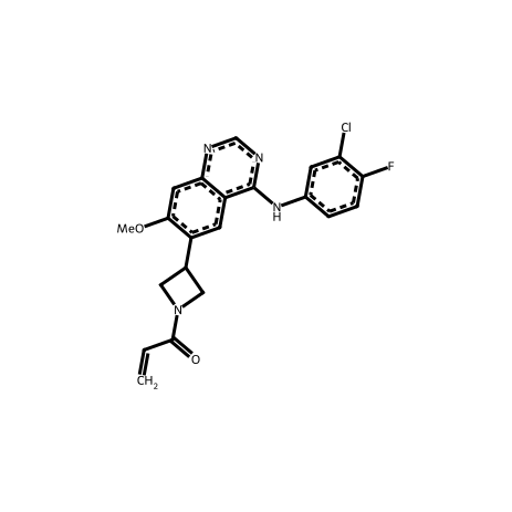 C=CC(=O)N1CC(c2cc3c(Nc4ccc(F)c(Cl)c4)ncnc3cc2OC)C1